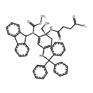 COC(=O)N(C1=CC(NC(c2ccccc2)(c2ccccc2)c2ccccc2)=CC[C@@]1(CO)NC(=O)CCC(N)=O)C1c2ccccc2-c2ccccc21